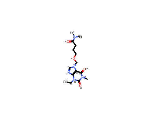 CCN(CC)C(=O)CCCOCn1cnc2c1c(=O)n(C)c(=O)n2CC(C)C